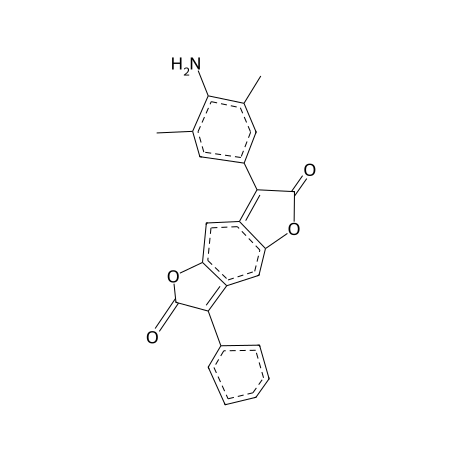 Cc1cc(C2=c3cc4c(cc3OC2=O)=C(c2ccccc2)C(=O)O4)cc(C)c1N